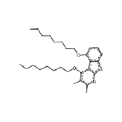 CCCCCCCCOc1cccc2sc3nc(C)c(C)c(OCCCCCCCC)c3c12